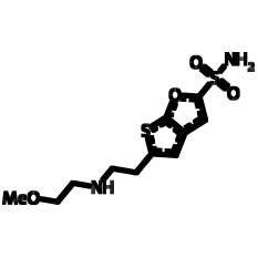 COCCNCCc1cc2cc(S(N)(=O)=O)oc2s1